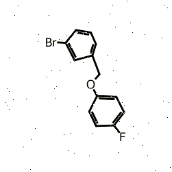 Fc1ccc(OCc2cccc(Br)c2)cc1